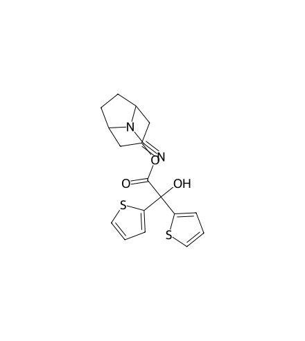 N#CN1C2CCC1CC(OC(=O)C(O)(c1cccs1)c1cccs1)C2